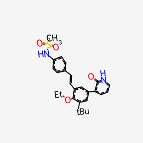 CCOc1c(C=Cc2ccc(NS(C)(=O)=O)cc2)cc(-c2ccc[nH]c2=O)cc1C(C)(C)C